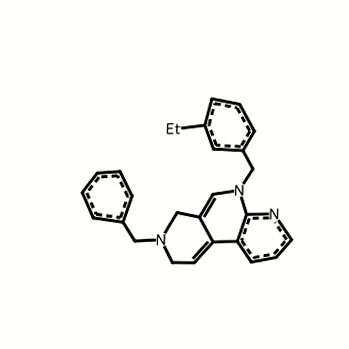 CCc1cccc(CN2C=C3CN(Cc4ccccc4)CC=C3c3cccnc32)c1